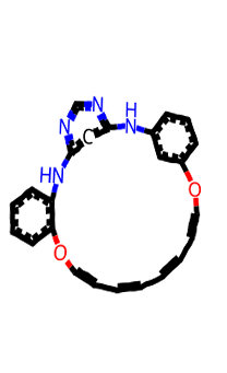 C1=C\C=C/Oc2cccc(c2)Nc2cc(ncn2)Nc2ccccc2O/C=C\C=C/1